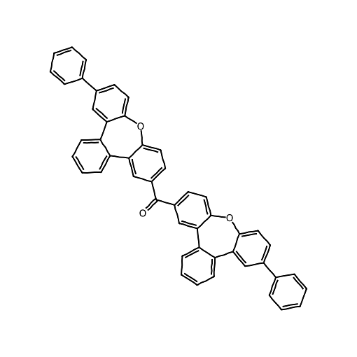 O=C(c1ccc2c(c1)-c1ccccc1-c1cc(-c3ccccc3)ccc1O2)c1ccc2c(c1)-c1ccccc1-c1cc(-c3ccccc3)ccc1O2